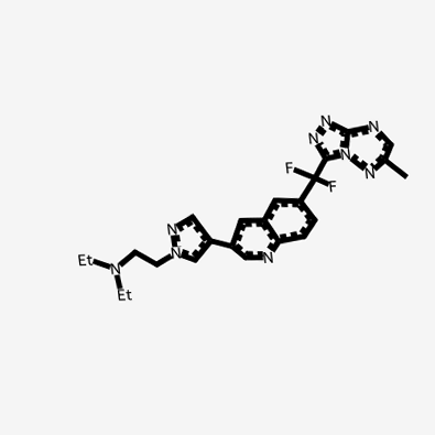 CCN(CC)CCn1cc(-c2cnc3ccc(C(F)(F)c4nnc5ncc(C)nn45)cc3c2)cn1